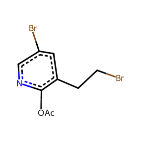 CC(=O)Oc1ncc(Br)cc1CCBr